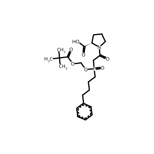 CC(C)(C)C(=O)OCOP(=O)(CCCCc1ccccc1)CC(=O)N1CCC[C@H]1C(=O)O